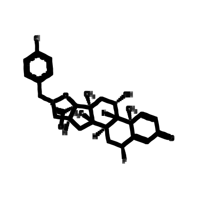 C[C@]12C[C@H](O)[C@@]3(F)[C@@H](C[C@H](F)C4=CC(=O)C=C[C@@]43C)[C@]1(C)C[C@H]1CN(Cc3ccc(Cl)cc3)O[C@]12C(=O)O